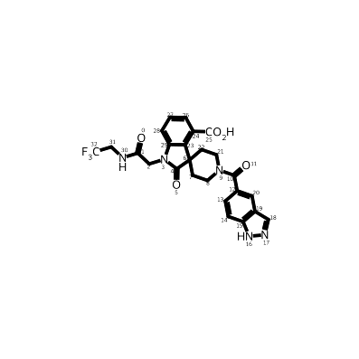 O=C(CN1C(=O)C2(CCN(C(=O)c3ccc4[nH]ncc4c3)CC2)c2c(C(=O)O)cccc21)NCC(F)(F)F